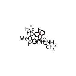 COc1cc([C@@](Cc2ccccc2)(NC(=O)CC(N)C(F)(F)F)c2cc(F)cc(OC(F)(F)C(F)F)c2)ccc1F